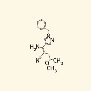 COC(C)C/C(C#N)=C(/N)c1cnn(Cc2ccccc2)c1